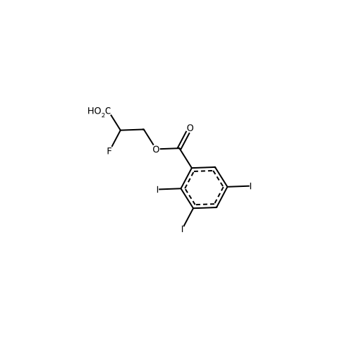 O=C(OCC(F)C(=O)O)c1cc(I)cc(I)c1I